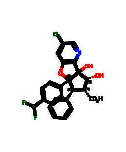 O=C(O)[C@H]1[C@@H](O)C2(O)c3ncc(Cl)cc3O[C@@]2(c2ccc(C(F)F)cc2)[C@@H]1c1ccccc1